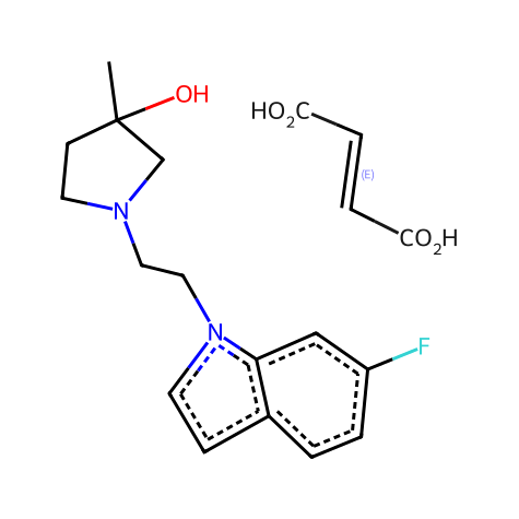 CC1(O)CCN(CCn2ccc3ccc(F)cc32)C1.O=C(O)/C=C/C(=O)O